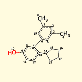 Cc1cc(C)cc(-c2cc(O)ccc2C2CCCC2)c1